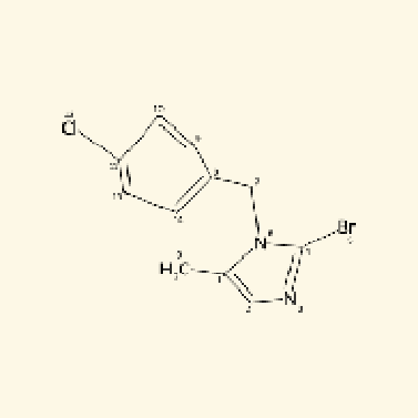 Cc1cnc(Br)n1Cc1ccc(Cl)cc1